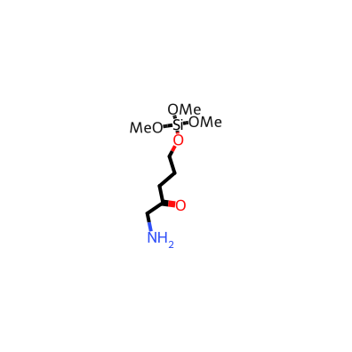 CO[Si](OC)(OC)OCCCC(=O)CN